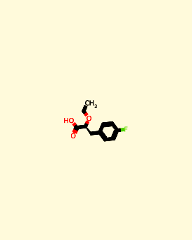 CCO[C@@H](Cc1ccc(F)cc1)C(=O)O